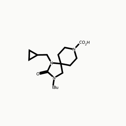 CC(C)(C)N1CC2(CCN(C(=O)O)CC2)N(CC2CC2)C1=O